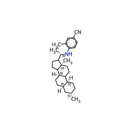 Cc1cc(C#N)ccc1N[C@@H](C)C1CCC2[C@@H]3CC[C@@H]4C[C@@H](C)CC[C@@H]4C3CC[C@@]21C